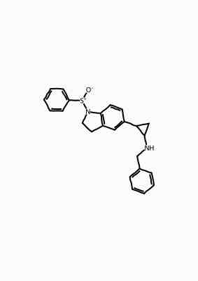 [O-][S+](c1ccccc1)N1CCc2cc(C3CC3NCc3ccccc3)ccc21